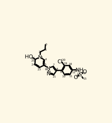 CCCN1C=C(n2cc(-c3ccc(NS(C)(=O)=O)cc3Cl)cn2)C=CC1O